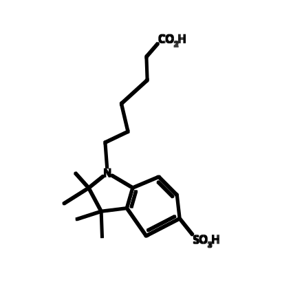 CC1(C)c2cc(S(=O)(=O)O)ccc2N(CCCCCC(=O)O)C1(C)C